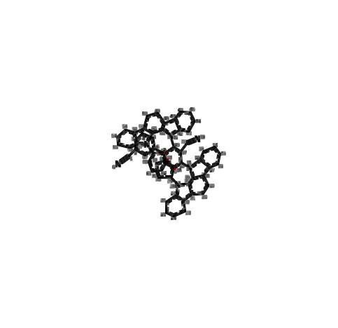 N#Cc1cccc(-c2ccc(-n3c4ccccc4c4ccc5c6ccccc6n(-c6ccccc6)c5c43)c(C#N)c2-n2c3ccccc3c3ccc4c5ccccc5n(-c5ccccc5)c4c32)c1